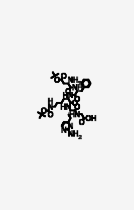 CC(C)(C)OC(=O)C[C@H](N)C(=O)N[C@@H](Cc1ccccc1)C(=O)N[C@H](CCCCNC(=O)OC(C)(C)C)C(=O)N[C@@H](CCc1ccnc(N)n1)C(=O)NCC(=O)O